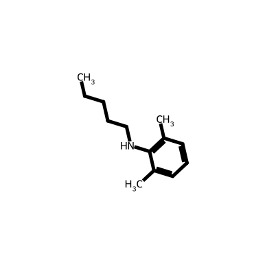 CCCCCNc1c(C)cccc1C